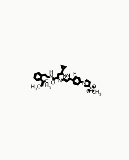 C/C=C(/C)c1ccccc1CCNC(=O)c1cc(C2CC2)n2nc(-c3ccc(N4CC[C@@H](S(C)(=O)=O)C4)cc3F)cc2n1